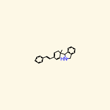 CC1(C2NCc3ccccc32)C=CC(C=Cc2ccccc2)=CC1